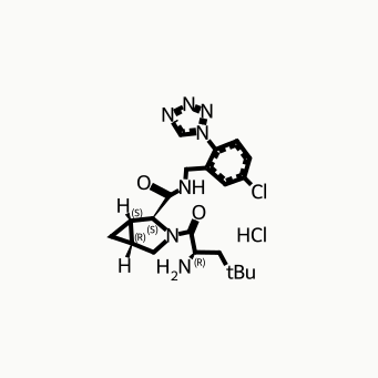 CC(C)(C)C[C@@H](N)C(=O)N1C[C@@H]2C[C@@H]2[C@H]1C(=O)NCc1cc(Cl)ccc1-n1cnnn1.Cl